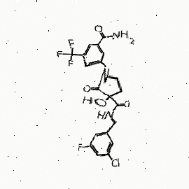 NC(=O)c1cc(N2CCC(O)(C(=O)NCc3cc(F)cc(Cl)c3)C2=O)cc(C(F)(F)F)c1